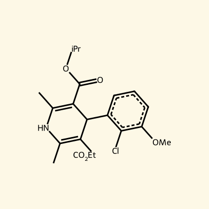 CCOC(=O)C1=C(C)NC(C)=C(C(=O)OC(C)C)C1c1cccc(OC)c1Cl